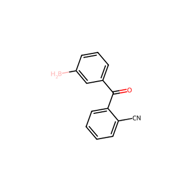 Bc1cccc(C(=O)c2ccccc2C#N)c1